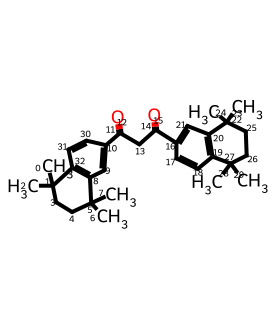 CC1(C)CCC(C)(C)c2cc(C(=O)CC(=O)c3ccc4c(c3)C(C)(C)CCC4(C)C)ccc21